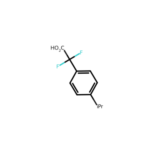 CC(C)c1ccc(C(F)(F)C(=O)O)cc1